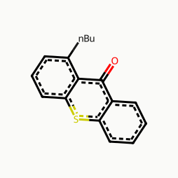 CCCCc1cccc2sc3ccccc3c(=O)c12